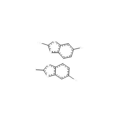 Cc1nc2cc([N+](=O)[O-])ccc2s1.Nc1nc2ccc([N+](=O)[O-])cc2s1